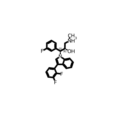 CNC[C@@H](O)[C@H](c1cccc(F)c1)n1cc(-c2cccc(F)c2F)c2ccccc21